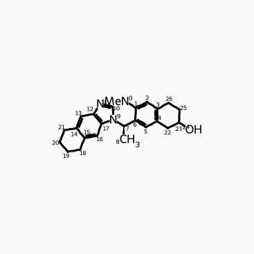 CNc1cc2c(cc1[C@@H](C)n1cnc3cc4c(cc31)CCCC4)CC(O)CC2